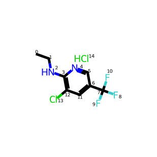 CCNc1ncc(C(F)(F)F)cc1Cl.Cl